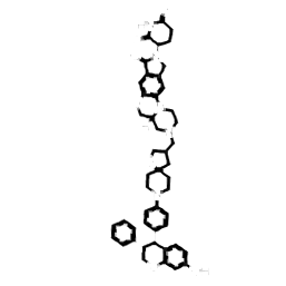 O=C1CC[C@@H](N2Cc3cc4c(cc3C2=O)OC[C@H]2CN(CC3COC5(CCN(c6ccc([C@@H]7c8ccc(O)cc8OC[C@@H]7c7ccccc7)cc6)CC5)C3)CCN42)C(=O)N1